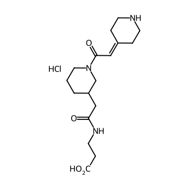 Cl.O=C(O)CCNC(=O)CC1CCCN(C(=O)C=C2CCNCC2)C1